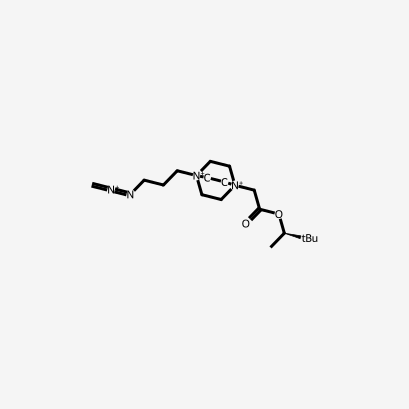 C=[N+]=NCCC[N+]12CC[N+](CC(=O)O[C@H](C)C(C)(C)C)(CC1)CC2